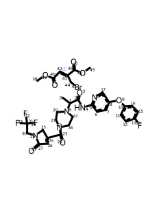 CC(C(=O)Nc1ccc(Oc2ccc(F)cc2)cn1)N1CCN(C(=O)C2=CC(=O)N(CC(F)(F)F)C2)CC1.COC(=O)/C=C(\CBr)C(=O)OC